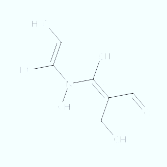 C/C=C(\C)N(C)/C(C)=C(/C=O)CC